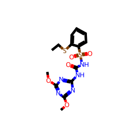 CCSc1ccccc1S(=O)(=O)NC(=O)Nc1nc(OC)nc(OC)n1